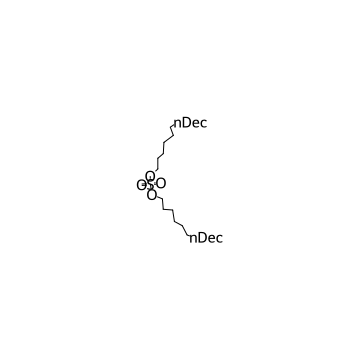 CCCCCCCCCCCCCCCCOS(=O)(=O)OCCCCCCCCCCCCCCCC